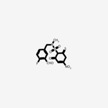 CN(Cc1ccc(F)c(C=O)c1)S(=O)(=O)C1C(=O)C=C([N+](=O)[O-])CC1=S